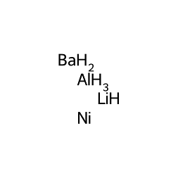 [AlH3].[BaH2].[LiH].[Ni]